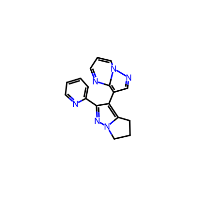 c1ccc(-c2nn3c(c2-c2cnn4cccnc24)CCC3)nc1